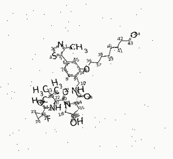 Cc1ncsc1-c1ccc(CNC(=O)[C@@H]2C[C@@H](O)CN2C(=O)[C@@H](NC(=O)C2(F)CC2)C(C)(C)C)c(OCCCCCCCC=O)c1